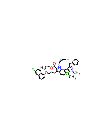 CCOC(=O)c1c(CCCOc2cccc3cc(F)ccc23)c2ccc(Cl)c3c2n1C/C=C\COC(c1ccccc1)c1nn(C)c(CC)c1-3